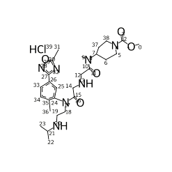 COC(=O)N1CCC(N(C)C(=O)CNCC(=O)N(CCNC(C)C)c2cc(-c3noc(C)n3)ccc2C)CC1.Cl